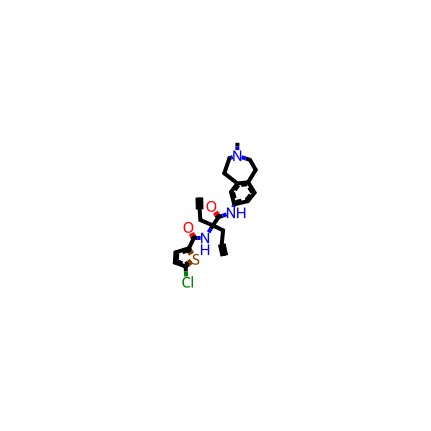 C#CCC(CC#C)(NC(=O)c1ccc(Cl)s1)C(=O)Nc1ccc2c(c1)CCN(C)CC2